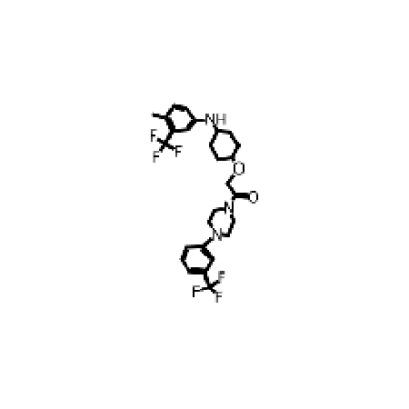 Cc1ccc(NC2CCC(OCC(=O)N3CCN(c4cccc(C(F)(F)F)c4)CC3)CC2)cc1C(F)(F)F